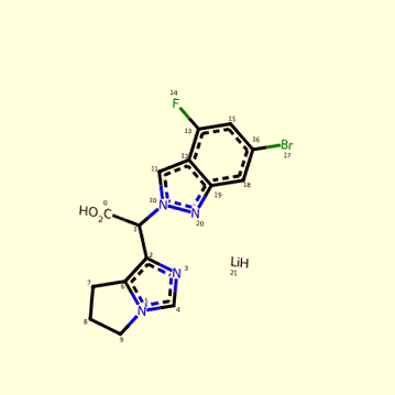 O=C(O)C(c1ncn2c1CCC2)n1cc2c(F)cc(Br)cc2n1.[LiH]